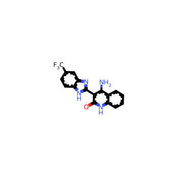 Nc1c(-c2nc3cc(C(F)(F)F)ccc3[nH]2)c(=O)[nH]c2ccccc12